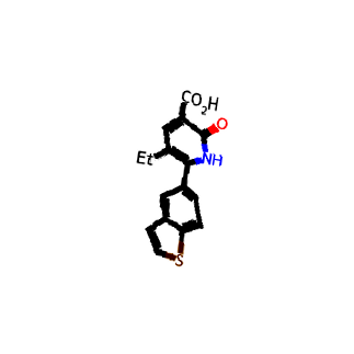 CCc1cc(C(=O)O)c(=O)[nH]c1-c1ccc2sccc2c1